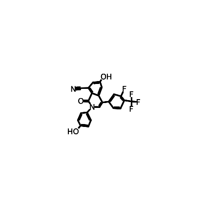 N#Cc1cc(O)cc2c(-c3ccc(C(F)(F)F)c(F)c3)cn(-c3ccc(O)cc3)c(=O)c12